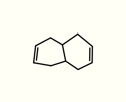 [CH]1C=CCC2CC=CCC12